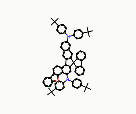 CC(C)(C)c1ccc(N(c2ccc(C(C)(C)C)cc2)c2ccc3cc4c(cc3c2)C2(c3ccccc3-c3ccccc32)c2cc(N(c3ccc(C(C)(C)C)cc3)c3ccc(C(C)(C)C)cc3)c3c(ccc5c6ccccc6oc53)c2-4)cc1